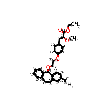 CCOC(=O)C(Cc1ccc(OCCOC2c3ccccc3C=Cc3cc(CC)ccc32)cc1)OC